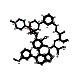 C=C/C(CC(Oc1nsc2cnc(-c3cccc(OC)c3)c(-c3ccc(OCCN4CCN(C)CC4)c(Cl)c3C)c12)C(=O)O)=C(\C)OCc1ccnc(N2CCCC(C)(F)C2)n1